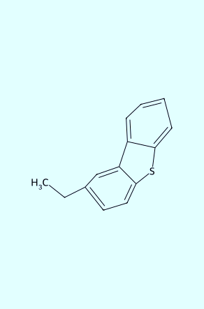 CCc1ccc2sc3ccccc3c2c1